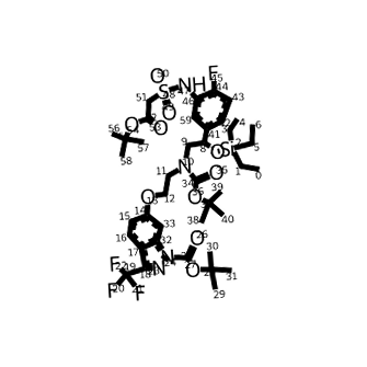 CC[Si](CC)(CC)OC(CN(CCOc1ccc2c(C(F)(F)F)nn(C(=O)OC(C)(C)C)c2c1)C(=O)OC(C)(C)C)c1ccc(F)c(NS(=O)(=O)CC(=O)OC(C)(C)C)c1